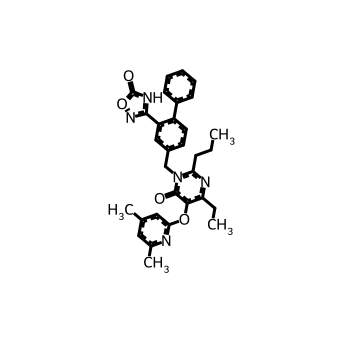 CCCc1nc(CC)c(Oc2cc(C)cc(C)n2)c(=O)n1Cc1ccc(-c2ccccc2)c(-c2noc(=O)[nH]2)c1